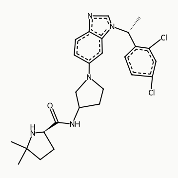 C[C@H](c1ccc(Cl)cc1Cl)n1cnc2ccc(N3CCC(NC(=O)[C@H]4CCC(C)(C)N4)C3)cc21